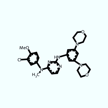 COc1ccc(N(C)c2ccnc(Nc3cc(N4CCOCC4)cc(N4CCOCC4)c3)n2)cc1Cl